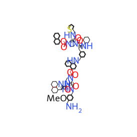 COc1cc(CNC(=O)[C@@H]2CN(C(=O)Oc3ccc(NCc4cccc(C[C@@H](NC5CCCCC5)C(=O)N5CCN(C(=O)Oc6cccc7ccccc67)C[C@H]5C(=O)NCc5cccs5)c4)c4ccccc34)CCN2C(=O)[C@@H](CC2CCCCC2)NC2CCCCC2)ccc1CN